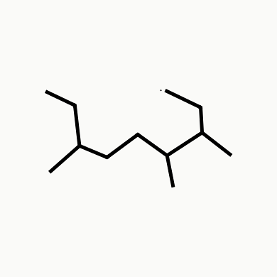 [CH2]CC(C)C(C)CCC(C)CC